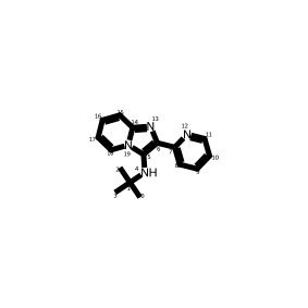 CC(C)(C)Nc1c(-c2ccccn2)nc2ccccn12